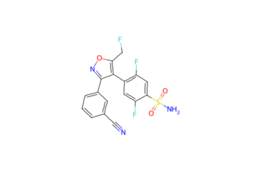 N#Cc1cccc(-c2noc(CF)c2-c2cc(F)c(S(N)(=O)=O)cc2F)c1